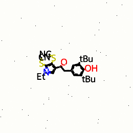 CCn1cc(C(=O)Cc2cc(C(C)(C)C)c(O)c(C(C)(C)C)c2)c(SC#N)c1SC#N